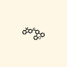 CN(c1ccc2c(c1)-c1ccccc1Oc1ccccc1-2)c1ccc2c(c1)C(C)(C)c1ccccc1-2